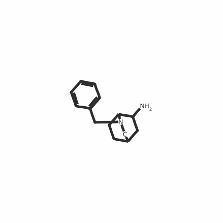 NC1CC2CCC1N(Cc1ccccc1)C2